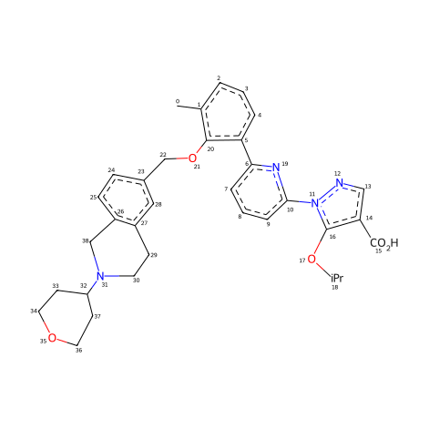 Cc1cccc(-c2cccc(-n3ncc(C(=O)O)c3OC(C)C)n2)c1OCc1ccc2c(c1)CCN(C1CCOCC1)C2